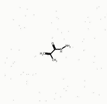 C=C(C)C(=O)NN